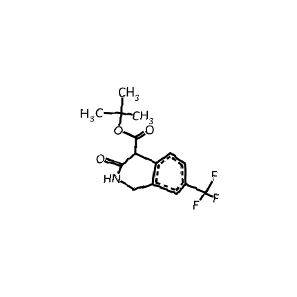 CC(C)(C)OC(=O)C1C(=O)NCc2cc(C(F)(F)F)ccc21